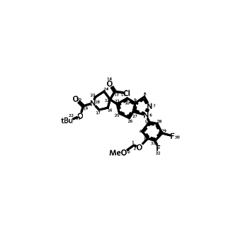 COCOc1cc(-n2ncc3cc(C4(C(=O)Cl)CCN(C(=O)OC(C)(C)C)CC4)ccc32)cc(F)c1F